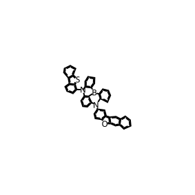 c1ccc2c(c1)B1c3ccccc3N(c3cccc4c3sc3ccccc34)c3cccc(c31)N2c1ccc2oc3cc4ccccc4cc3c2c1